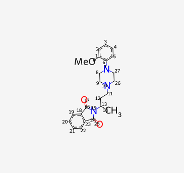 COc1ccccc1N1CCN(CCC(C)N2C(=O)c3ccccc3C2=O)CC1